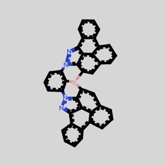 c1cc2c3c(c1)-n1nc4c5ccccc5c5cccc6cc(c1c4c65)B3c1cc3cccc4c5ccccc5c5nn-2c1c5c34